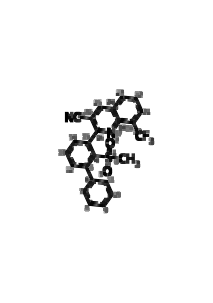 CS(=O)(=O)c1c(-c2ccccc2)cccc1-c1nc2c(C(F)(F)F)cccc2cc1C#N